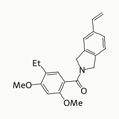 C=Cc1ccc2c(c1)CN(C(=O)c1cc(CC)c(OC)cc1OC)C2